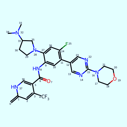 C=C1C=C(C(F)(F)F)C(C(=O)Nc2cc(-c3cnc(N4CCOCC4)nc3)c(F)cc2N2CCC(N(C)C)C2)=CN1